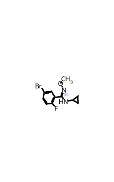 CO/N=C(/NC1CC1)c1cc(Br)ccc1F